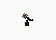 c1ccc(-c2ccc(N(c3cccc(-c4cccc5c4-c4ccccc4C5(c4ccccc4)c4ccccc4)c3)c3cccc(-c4cccc5c4-c4ccccc4C5(c4ccccc4)c4ccccc4)c3)cc2)cc1